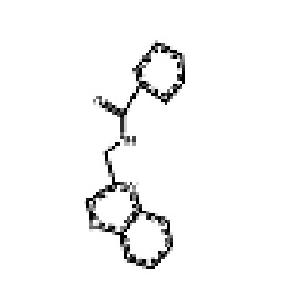 O=C(NCc1cnc2ccccc2n1)c1ccccc1